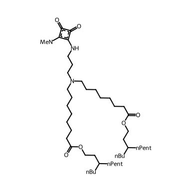 CCCCCC(CCCC)CCOC(=O)CCCCCCCN(CCCCCCCC(=O)OCCC(CCCC)CCCCC)CCCNc1c(NC)c(=O)c1=O